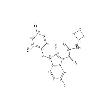 Cc1ccc2c(c1)c(C(=O)C(=O)NC1CCC1)c(Cl)n2Cc1ccc(Cl)cc1Cl